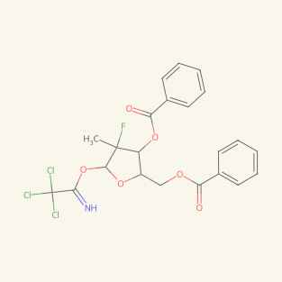 CC1(F)C(OC(=N)C(Cl)(Cl)Cl)OC(COC(=O)c2ccccc2)C1OC(=O)c1ccccc1